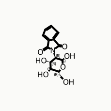 O=C1c2ccccc2C(=O)N1[C@@H]1[C@@H](O)[C@H](O)[C@@H](CO)O[C@@H]1O